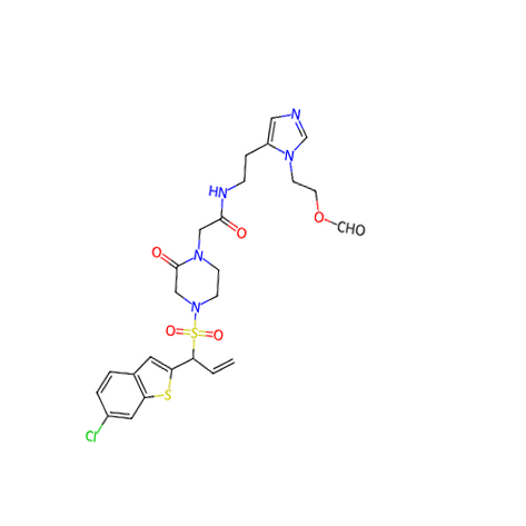 C=CC(c1cc2ccc(Cl)cc2s1)S(=O)(=O)N1CCN(CC(=O)NCCc2cncn2CCOC=O)C(=O)C1